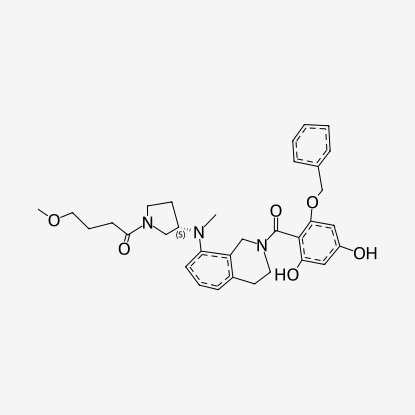 COCCCC(=O)N1CC[C@H](N(C)c2cccc3c2CN(C(=O)c2c(O)cc(O)cc2OCc2ccccc2)CC3)C1